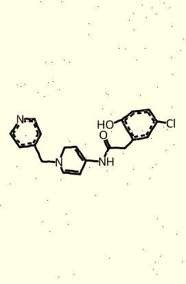 O=C(Cc1cc(Cl)ccc1O)NC1=CCN(Cc2ccncc2)C=C1